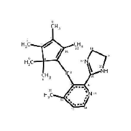 CC1=C(C)C(C)(C)[C]([Ir][c]2c(C)ccnc2C2=NCCN2)=C1C